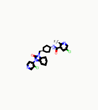 O=C(N[C@H]1CC[C@H](Cn2c(=O)n(-c3ccncc3Cl)c3ccccc32)CC1)c1cc(Cl)cnc1C(F)(F)F